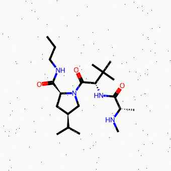 CCCNC(=O)[C@@H]1C[C@H](C(C)C)CN1C(=O)[C@@H](NC(=O)[C@H](C)NC)C(C)(C)C